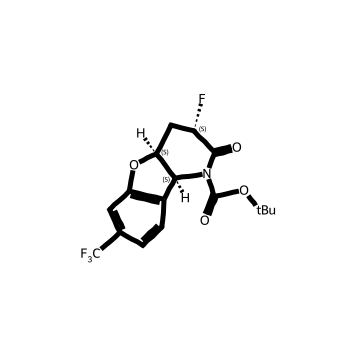 CC(C)(C)OC(=O)N1C(=O)[C@@H](F)C[C@@H]2Oc3cc(C(F)(F)F)ccc3[C@@H]21